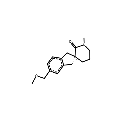 COCc1ccc2c(c1)C[C@]1(CCCN(C)C1=O)C2